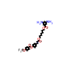 Nc1cc(N)cc(C(=O)OCCCCCCCOC(=O)/C=C/c2ccc(OC(=O)c3ccc(OC(F)(F)F)cc3)cc2)c1